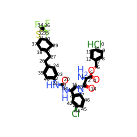 Cl.NC(C(=O)OCc1ccccc1)C(=O)n1cc(NC(=O)Nc2ccc(CCc3ccc(SC(F)(F)F)cc3)cc2)c2cc(Cl)ccc21